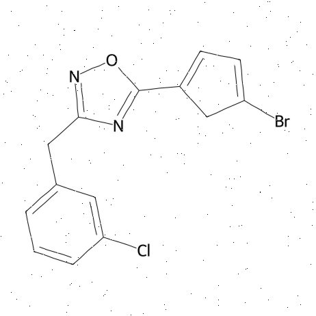 Clc1cccc(Cc2noc(C3=CC=C(Br)C3)n2)c1